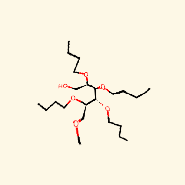 CCCCO[C@@H]([C@H](OCCCC)[C@@H](COC)OCCCC)[C@@H](CO)OCCCC